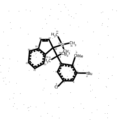 COc1c(C(C)(C)C)cc(Cl)cc1C(C)(C)C1([Si](C)(C)C)C=Cc2ccccc21